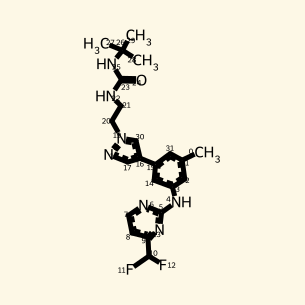 Cc1cc(Nc2nccc(C(F)F)n2)cc(-c2cnn(CCNC(=O)NC(C)(C)C)c2)c1